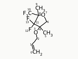 C=CCOC1(C)COC(C)(C(F)(F)F)C1(F)F